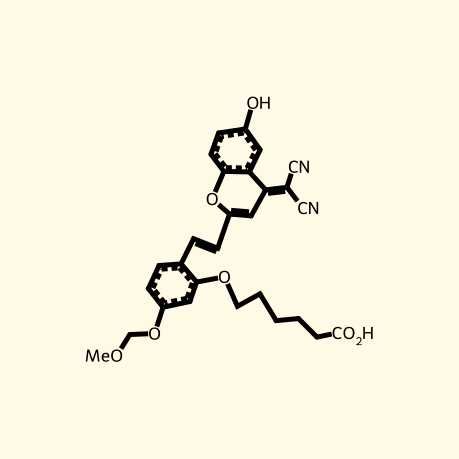 COCOc1ccc(C=CC2=CC(=C(C#N)C#N)c3cc(O)ccc3O2)c(OCCCCCC(=O)O)c1